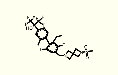 CCc1c(F)c(CN2CC3(C2)CN(S(C)(=O)=O)C3)cc(F)c1-c1ccc(C(O)(C(F)(F)F)C(F)(F)F)cc1C